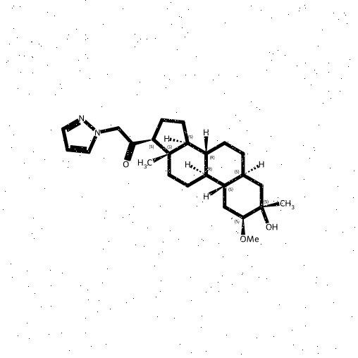 CO[C@H]1C[C@H]2[C@@H](CC[C@@H]3[C@@H]2CC[C@]2(C)[C@@H](C(=O)Cn4cccn4)CC[C@@H]32)C[C@]1(C)O